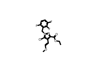 CCOC(=O)c1nn(Cc2c(F)ccc(F)c2F)c(Cl)c1C=COC